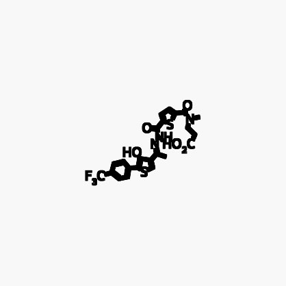 CC(=NNC(=O)c1ccc(C(=O)N(C)CCC(=O)O)s1)c1csc(-c2ccc(C(F)(F)F)cc2)c1O